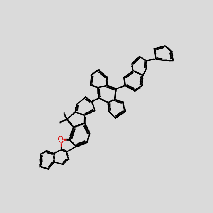 CC1(C)c2ccc(-c3c4ccccc4c(-c4ccc5cc(-c6ccccc6)ccc5c4)c4ccccc34)cc2-c2ccc3c(oc4c5ccccc5ccc34)c21